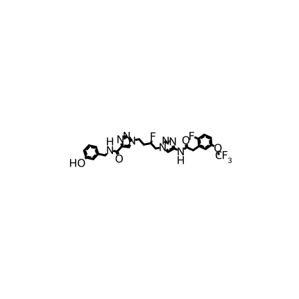 O=C(Cc1cc(OC(F)(F)F)ccc1F)Nc1cn(CC(F)CCn2cc(C(=O)NCc3cccc(O)c3)nn2)nn1